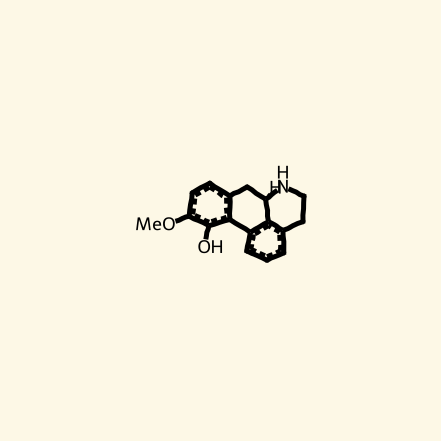 COc1ccc2c(c1O)-c1cccc3c1[C@@H](C2)NCC3